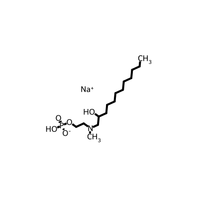 CCCCCCCCCCC(O)CN(C)CCOP(=O)([O-])O.[Na+]